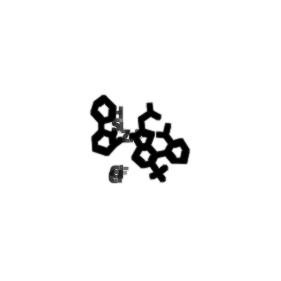 CC(C)CC1=Cc2c(ccc(C(C)(C)C)c2-c2ccccc2C(C)C)[CH]1[Zr+2]1[c]2cccc3c2[SiH]1c1ccccc1-3.[Cl-].[Cl-]